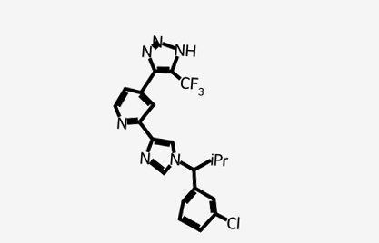 CC(C)C(c1cccc(Cl)c1)n1cnc(-c2cc(-c3nn[nH]c3C(F)(F)F)ccn2)c1